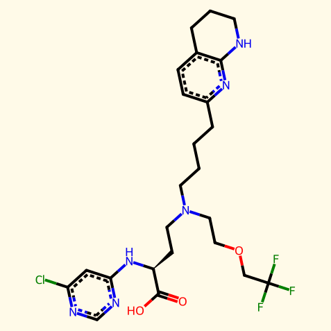 O=C(O)[C@H](CCN(CCCCc1ccc2c(n1)NCCC2)CCOCC(F)(F)F)Nc1cc(Cl)ncn1